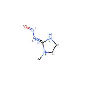 CN1CCN/C1=N\N=O